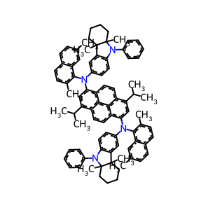 Cc1ccc2ccc(C)c(N(c3ccc4c(c3)C3(C)CCCCC3(C)N4c3ccccc3)c3cc(C(C)C)c4ccc5c(N(c6ccc7c(c6)C6(C)CCCCC6(C)N7c6ccccc6)c6c(C)ccc7ccc(C)cc67)cc(C(C)C)c6ccc3c4c65)c2c1